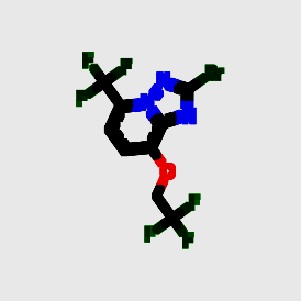 FC(F)(F)COc1ccc(C(F)(F)F)n2nc(Br)nc12